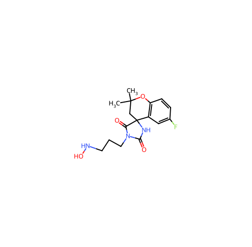 CC1(C)CC2(NC(=O)N(CCCNO)C2=O)c2cc(F)ccc2O1